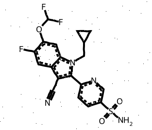 N#Cc1c(-c2ccc(S(N)(=O)=O)cn2)n(CC2CC2)c2cc(OC(F)F)c(F)cc12